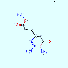 NN=N[C@@H](CCC(=O)ON)CC(=O)ON